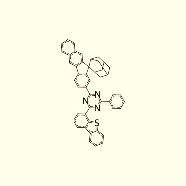 c1ccc(-c2nc(-c3ccc4c(c3)C3(c5cc6ccccc6cc5-4)C4CC5CC(C4)CC3C5)nc(-c3cccc4c3sc3ccccc34)n2)cc1